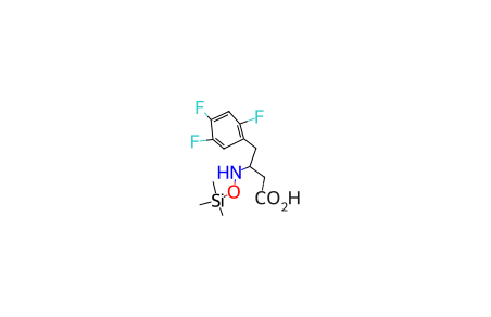 C[Si](C)(C)ONC(CC(=O)O)Cc1cc(F)c(F)cc1F